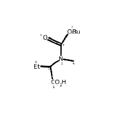 CCC(C(=O)O)N(C)C(=O)OCC(C)C